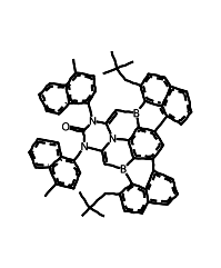 Cc1ccc(N2C(=O)N(c3ccc(C)c4ccccc34)C3=CB4c5c(cc6c7c5N3C2=CB7c2c(CC(C)(C)C)ccc3cccc-6c23)-c2cccc3ccc(CC(C)(C)C)c4c23)c2ccccc12